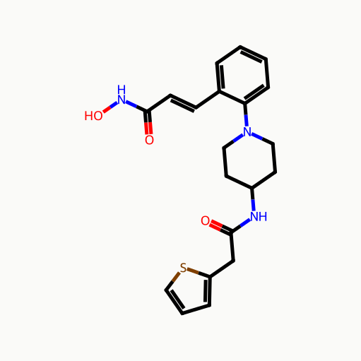 O=C(/C=C/c1ccccc1N1CCC(NC(=O)Cc2cccs2)CC1)NO